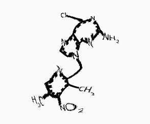 Cc1cnc(Cn2cnc3c(Cl)nc(N)nc32)c(C)c1[N+](=O)[O-]